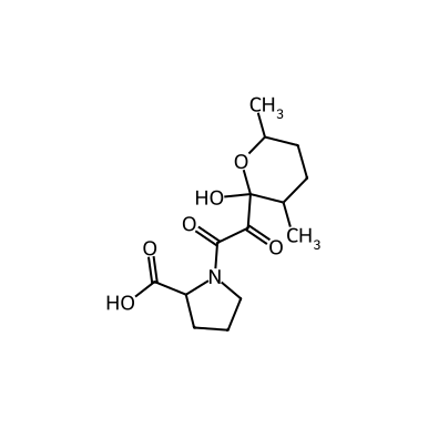 CC1CCC(C)C(O)(C(=O)C(=O)N2CCCC2C(=O)O)O1